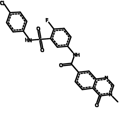 Cn1cnc2cc(C(=O)Nc3ccc(F)c(S(=O)(=O)Nc4ccc(Cl)cc4)c3)ccc2c1=O